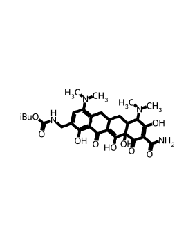 CC(C)COC(=O)NCc1cc(N(C)C)c2c(c1O)C(=O)C1=C(O)C3(O)C(=O)C(C(N)=O)=C(O)C(N(C)C)C3CC1C2